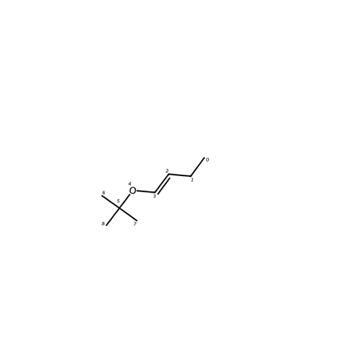 CCC=COC(C)(C)C